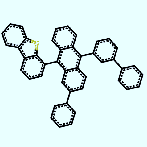 c1ccc(-c2cccc(-c3c4ccccc4c(-c4cccc5c4sc4ccccc45)c4cc(-c5ccccc5)ccc34)c2)cc1